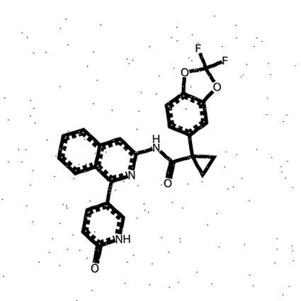 O=C(Nc1cc2ccccc2c(-c2ccc(=O)[nH]c2)n1)C1(c2ccc3c(c2)OC(F)(F)O3)CC1